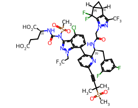 CC(C)(C#Cc1ccc(-c2ccc(Cl)c3c(N(C(=O)N[C@@H](CCC(=O)O)C(=O)O)S(C)(=O)=O)nn(CC(F)(F)F)c23)c([C@H](Cc2cc(F)cc(F)c2)NC(=O)Cn2nc(C(F)(F)F)c3c2C(F)(F)[C@@H]2C[C@H]32)n1)S(C)(=O)=O